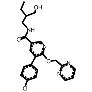 CCC(CO)CNC(=O)c1cnc(OCc2ncccn2)c(-c2ccc(Cl)cc2)c1